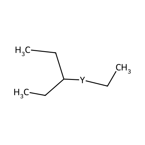 C[CH2][Y][CH](CC)CC